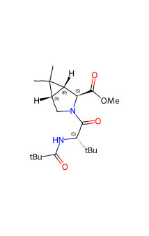 COC(=O)[C@@H]1[C@@H]2[C@H](CN1C(=O)[C@@H](NC(=O)C(C)(C)C)C(C)(C)C)C2(C)C